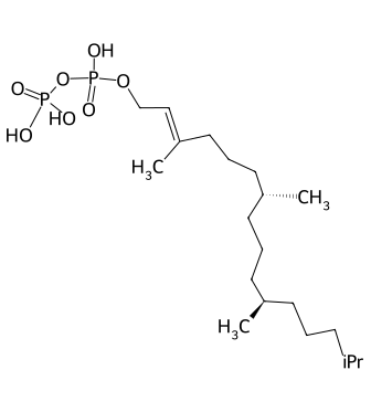 C/C(=C\COP(=O)(O)OP(=O)(O)O)CCC[C@H](C)CCC[C@H](C)CCCC(C)C